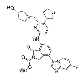 CC(C)(C)OC(=O)N1Cc2c(-c3cnc4cc(F)ccn34)ccc(Nc3ccc([C@@H]4CCOC4)c(CN4CC[C@H](O)C4)n3)c2C1=O